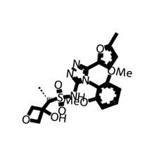 COc1cccc(OC)c1-n1c(NS(=O)(=O)[C@@H](C)C2(O)COC2)nnc1-c1ccc(C)o1